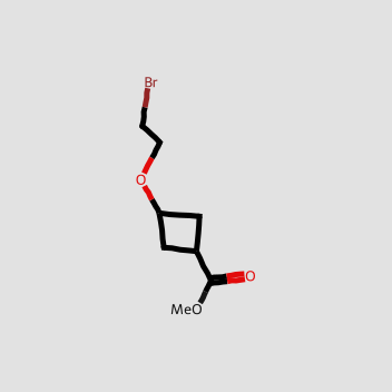 COC(=O)C1CC(OCCBr)C1